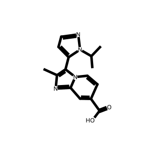 Cc1nc2cc(C(=O)O)ccn2c1-c1ccnn1C(C)C